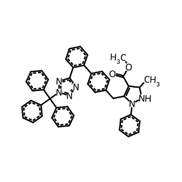 COC(=O)C1=C(Cc2ccc(-c3ccccc3-c3nnn(C(c4ccccc4)(c4ccccc4)c4ccccc4)n3)cc2)N(c2ccccc2)NC1C